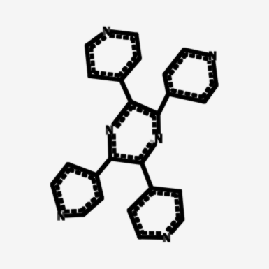 c1cc(-c2nc(-c3ccncc3)c(-c3ccncc3)nc2-c2ccncc2)ccn1